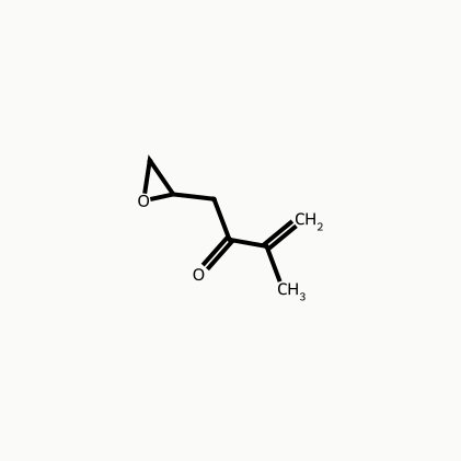 C=C(C)C(=O)CC1CO1